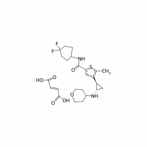 Cc1sc(C(=O)NC2CCC(F)(F)CC2)cc1[C@H]1C[C@@H]1NC1CCOCC1.O=C(O)C=CC(=O)O